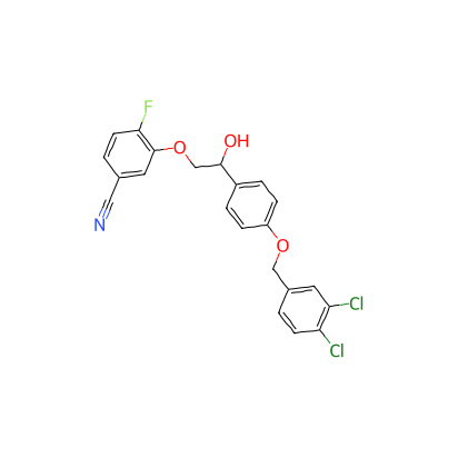 N#Cc1ccc(F)c(OCC(O)c2ccc(OCc3ccc(Cl)c(Cl)c3)cc2)c1